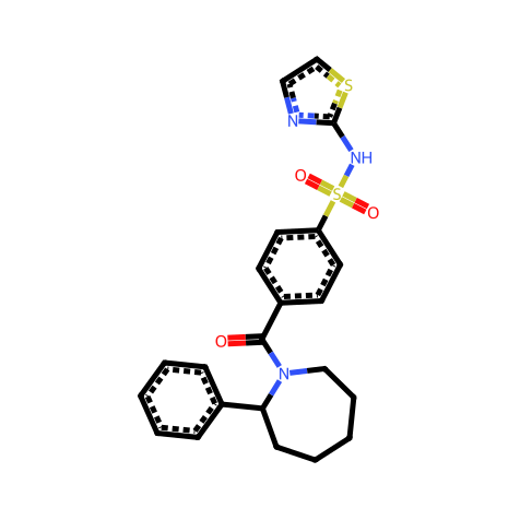 O=C(c1ccc(S(=O)(=O)Nc2nccs2)cc1)N1CCCCCC1c1ccccc1